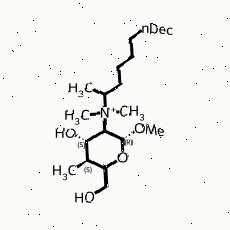 CCCCCCCCCCCCCCC(C)[N+](C)(C)C1[C@H](OC)OC(CO)[C@@H](C)[C@@H]1O